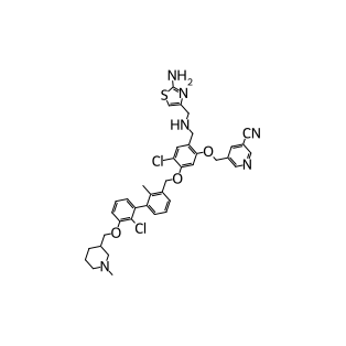 Cc1c(COc2cc(OCc3cncc(C#N)c3)c(CNCc3csc(N)n3)cc2Cl)cccc1-c1cccc(OCC2CCCN(C)C2)c1Cl